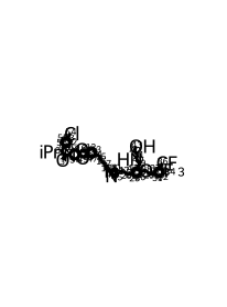 CC(C)C(C(=O)N1CCC2(CC1)Oc1ccc(CCCCn3cc(CCc4ccc(OCc5ccc(F)c(C(F)(F)F)c5)c(CNCCO)c4)cn3)cc1O2)c1ccc(Cl)cc1